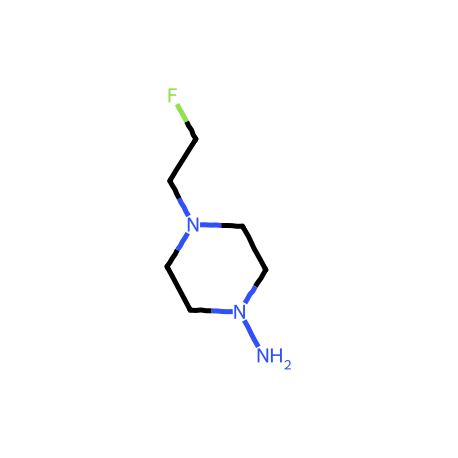 NN1CCN(CCF)CC1